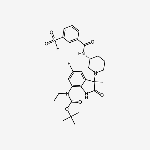 CCN(C(=O)OC(C)(C)C)c1cc(F)cc2c1NC(=O)C2(C)N1CCC[C@@H](NC(=O)c2cccc(S(=O)(=O)F)c2)C1